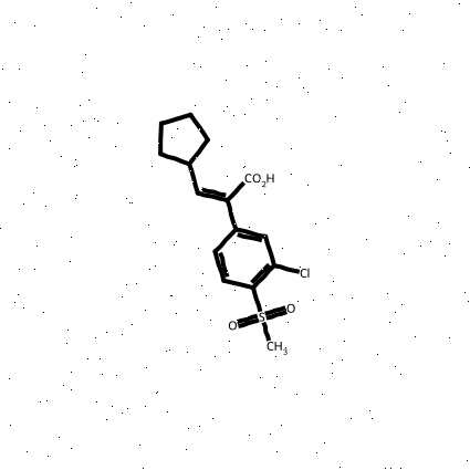 CS(=O)(=O)c1ccc(C(=CC2CCCC2)C(=O)O)cc1Cl